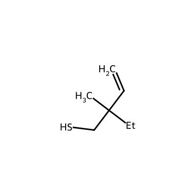 C=CC(C)(CC)CS